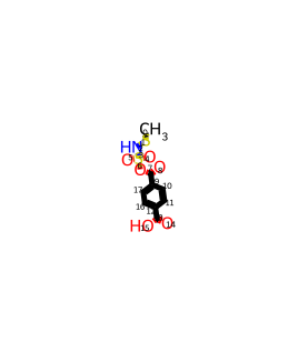 CSNS(=O)(=O)OC(=O)c1ccc(C(=O)O)cc1